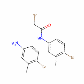 Cc1cc(N)ccc1Br.Cc1cc(NC(=O)CBr)ccc1Br